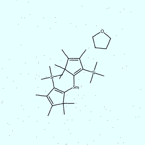 C1CCOC1.CC1=C(C)C(C)(C)[C]([Sm][C]2=C([Si](C)(C)C)C(C)=C(C)C2(C)C)=C1[Si](C)(C)C